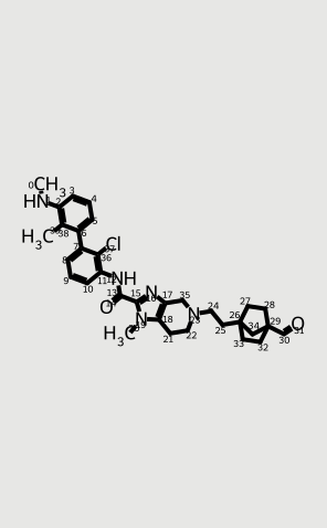 CNc1cccc(-c2cccc(NC(=O)c3nc4c(n3C)CCN(CCC35CCC(C=O)(CC3)C5)C4)c2Cl)c1C